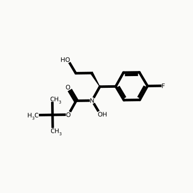 CC(C)(C)OC(=O)N(O)[C@@H](CCO)c1ccc(F)cc1